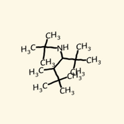 CC(C(NC(C)(C)C)C(C)(C)C)C(C)(C)C